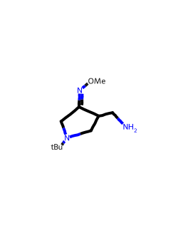 CO/N=C1/CN(C(C)(C)C)CC1CN